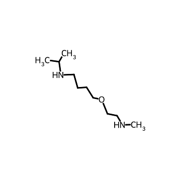 CNCCOCCCCNC(C)C